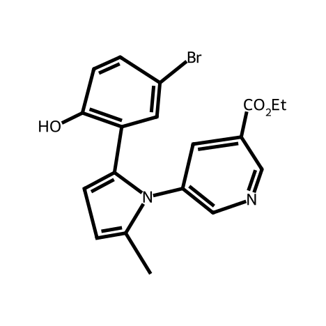 CCOC(=O)c1cncc(-n2c(C)ccc2-c2cc(Br)ccc2O)c1